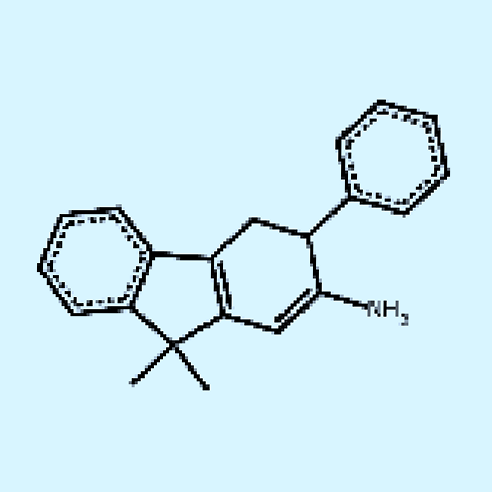 CC1(C)C2=C(CC(c3ccccc3)C(N)=C2)c2ccccc21